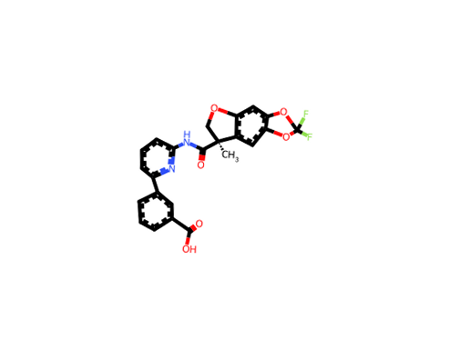 C[C@]1(C(=O)Nc2cccc(-c3cccc(C(=O)O)c3)n2)COc2cc3c(cc21)OC(F)(F)O3